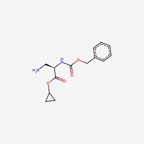 NC[C@@H](NC(=O)OCc1ccccc1)C(=O)OC1CC1